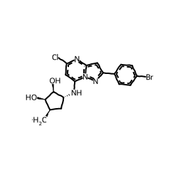 [CH2][C@@H]1C[C@@H](Nc2cc(Cl)nc3cc(-c4ccc(Br)cc4)nn23)[C@H](O)[C@@H]1O